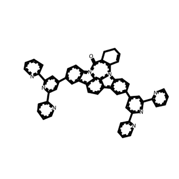 O=c1c2c(n3c4ccc(-c5cc(-c6ccccn6)nc(-c6ccccn6)c5)cc4c4ccc5c6cc(-c7cc(-c8ccccn8)nc(-c8ccccn8)c7)ccc6n1c5c43)C=CCC2